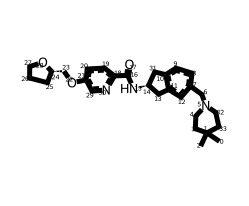 CC1(C)CCN(Cc2ccc3c(c2)C[C@H](NC(=O)c2ccc(OC[C@@H]4CCCO4)cn2)C3)CC1